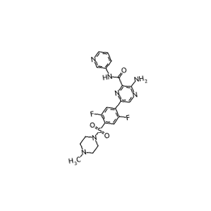 CN1CCN(S(=O)(=O)c2cc(F)c(-c3cnc(N)c(C(=O)Nc4cccnc4)n3)cc2F)CC1